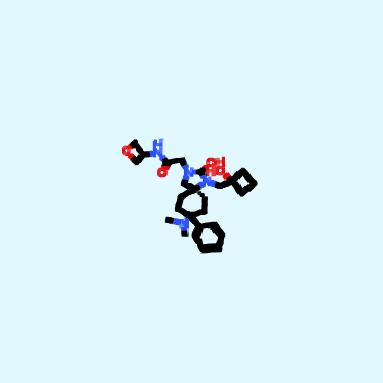 CN(C)[C@]1(c2ccccc2)CC[C@]2(CC1)CN(CC(=O)NC1COC1)C(O)N2CC1(O)CCC1